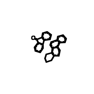 O=C1c2ccccc2-c2ccccc21.c1ccc2c(c1)ccc1c3c(ccc12)CCCC3